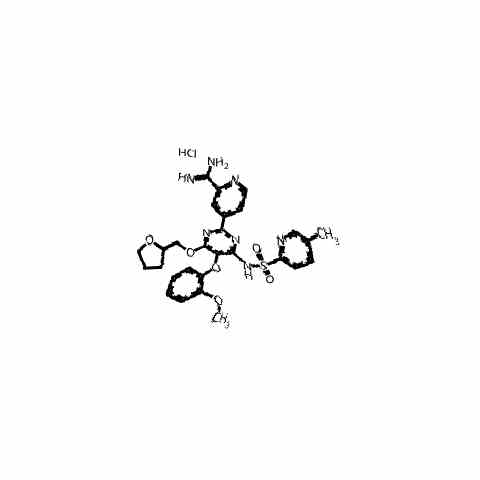 COc1ccccc1Oc1c(NS(=O)(=O)c2ccc(C)cn2)nc(-c2ccnc(C(=N)N)c2)nc1OCC1CCCO1.Cl